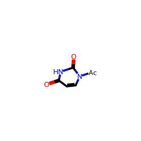 CC(=O)n1ccc(=O)[nH]c1=O